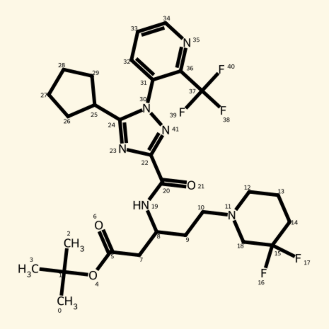 CC(C)(C)OC(=O)CC(CCN1CCCC(F)(F)C1)NC(=O)c1nc(C2CCCC2)n(-c2cccnc2C(F)(F)F)n1